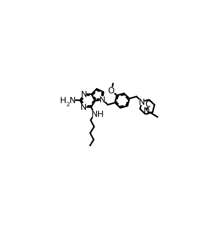 CCCCCNc1nc(N)nc2ccn(Cc3ccc(CN4CC5CCC4CN5C)cc3OC)c12